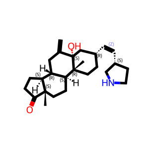 C=C1C[C@H]2[C@@H]3CCC(=O)[C@@]3(C)CC[C@@H]2[C@@]2(C)CC[C@@H](/C=C\[C@@H]3CCNC3)C[C@]12O